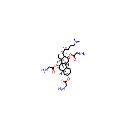 C[C@H](CCCN(C)C)[C@H]1CC[C@H]2[C@@H]3[C@H](OC(=O)CN)C[C@@H]4C[C@H](OC(=O)CN)CC[C@]4(C)[C@H]3C[C@H](OC(=O)CN)[C@]12C